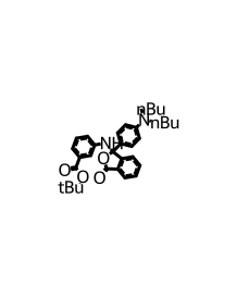 CCCCN(CCCC)c1ccc(C2(Nc3cccc(C(=O)OC(C)(C)C)c3)OC(=O)c3ccccc32)cc1